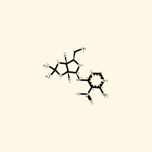 CC1(C)O[C@@H]2[C@H](O1)[C@@H](CO)O[C@H]2Nc1ncnc(N)c1[N+](=O)[O-]